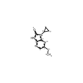 CSc1cnc2[nH]c(=O)n(C3CC3)c2n1